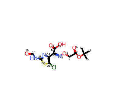 CC(C)(C)OC(=O)CO/N=C(\C(=O)O)c1nc(NC=O)sc1Cl